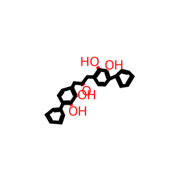 O=C(Cc1ccc(-c2ccccc2)c(O)c1O)Cc1ccc(-c2ccccc2)c(O)c1O